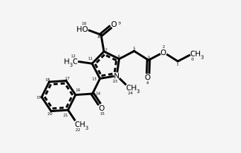 CCOC(=O)Cc1c(C(=O)O)c(C)c(C(=O)c2ccccc2C)n1C